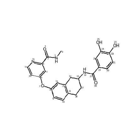 CNC(=O)c1cc(Oc2ccc3c(c2)CC(NC(=O)c2ccc(O)c(O)c2)CC3)ccn1